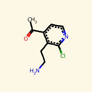 CC(=O)c1ccnc(Cl)c1CCN